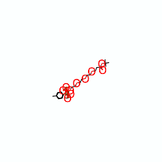 Cc1ccc(S(=O)(=O)S(=O)(=O)OCCOCCOCCOCCC(=O)OC(C)(C)C)cc1